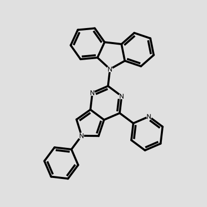 c1ccc(-n2cc3nc(-n4c5ccccc5c5ccccc54)nc(-c4ccccn4)c3c2)cc1